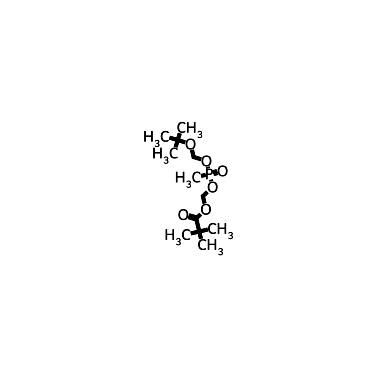 CC(C)(C)OCOP(C)(=O)OCOC(=O)C(C)(C)C